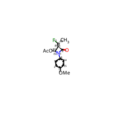 COc1ccc(N2C(=O)[C@H]([C@@H](C)F)[C@@H]2OC(C)=O)cc1